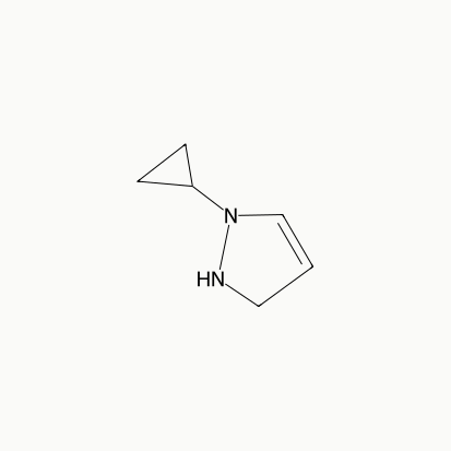 C1=CN(C2CC2)NC1